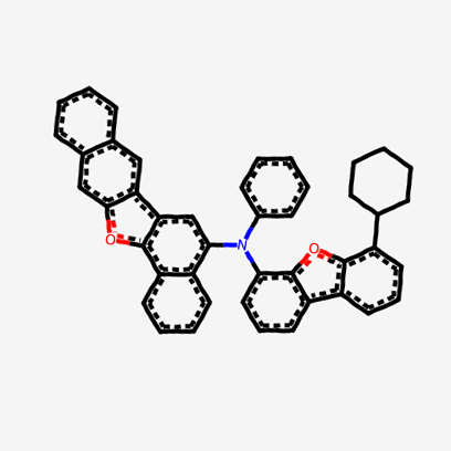 c1ccc(N(c2cc3c4cc5ccccc5cc4oc3c3ccccc23)c2cccc3c2oc2c(C4CCCCC4)cccc23)cc1